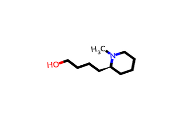 CN1CCCC[C@H]1CCCCO